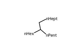 [CH2]CCCCCC(CCCCC)CCCCCCCC